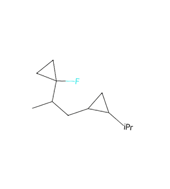 CC(C)C1CC1CC(C)C1(F)CC1